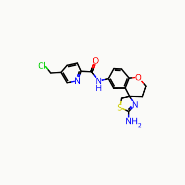 NC1=NC2(CCOc3ccc(NC(=O)c4ccc(CCl)cn4)cc32)CS1